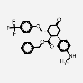 CNc1ccc([C@H]2CC(=O)C[C@@H](COc3ccc(C(F)(F)F)cc3)[C@@H]2C(=O)OCc2ccccc2)cc1